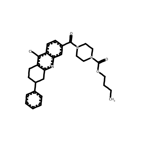 CCCCOC(=O)N1CCN(C(=O)c2ccc3c(Cl)c4c(nc3c2)CC(c2ccccc2)CC4)CC1